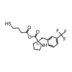 O=C(CCCS)OC(=O)[C@@]1(Cc2cccc(C(F)(F)F)c2)CCCN1